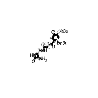 CCCCOc1cn(OCCCC)c(C(=O)NCC(=O)NC[C@H]2NC(=O)[C@H]2N)cc1=O